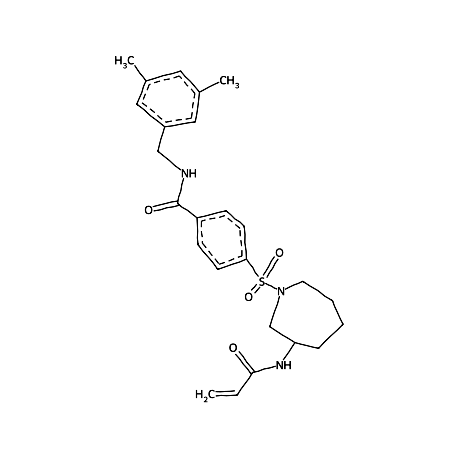 C=CC(=O)NC1CCCCN(S(=O)(=O)c2ccc(C(=O)NCc3cc(C)cc(C)c3)cc2)C1